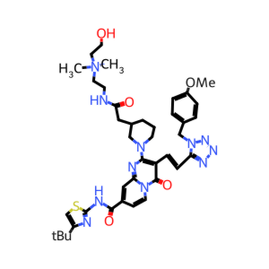 COc1ccc(Cn2nnnc2C=Cc2c(N3CCCC(CC(=O)NCC[N+](C)(C)CCO)C3)nc3cc(C(=O)Nc4nc(C(C)(C)C)cs4)ccn3c2=O)cc1